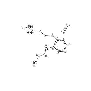 CPNCCCc1c(C#N)cccc1OCCO